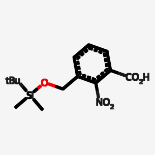 CC(C)(C)[Si](C)(C)OCc1cccc(C(=O)O)c1[N+](=O)[O-]